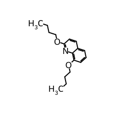 CCCCOc1ccc2cccc(OCCCC)c2n1